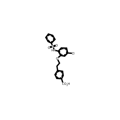 O=C(O)c1ccc(CCOc2cc(Cl)ccc2NS(=O)(=O)c2ccccc2)cc1